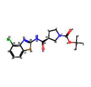 CC(C)(C)OC(=O)N1CC[C@H](C(=O)Nc2nc3c(Br)cccc3s2)C1